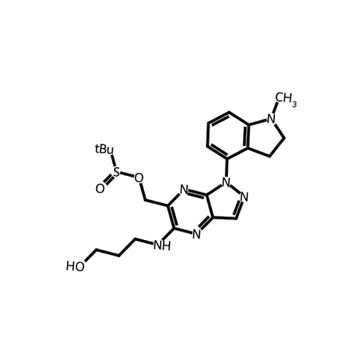 CN1CCc2c1cccc2-n1ncc2nc(NCCCO)c(COS(=O)C(C)(C)C)nc21